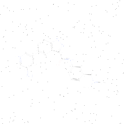 CN(C)Cc1cccc(NC(=O)c2n[nH]c3ccc(-c4cncc(N)c4)cc23)c1